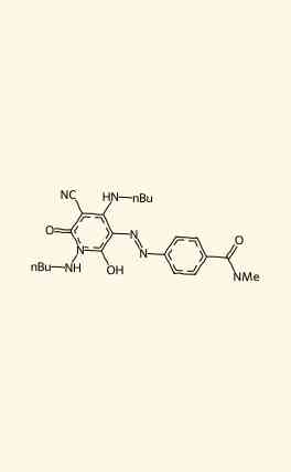 CCCCNc1c(/N=N/c2ccc(C(=O)NC)cc2)c(O)n(NCCCC)c(=O)c1C#N